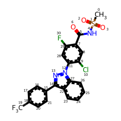 CS(=O)(=O)NC(=O)c1cc(Cl)c(-n2nc(-c3ccc(C(F)(F)F)cc3)c3ccccc32)cc1F